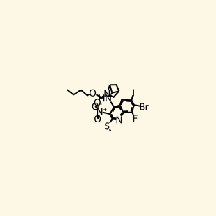 CCCCOC(=O)N1CC2CC1C2Nc1c([N+](=O)[O-])c(SC)nc2c(F)c(Br)c(I)cc12